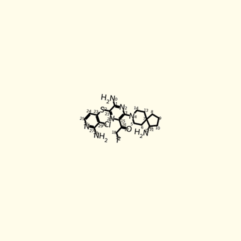 Nc1nc(N2CCC3(CCC[C@H]3N)CC2)c(C(=O)CF)nc1Sc1ccnc(N)c1Cl